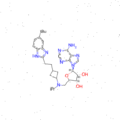 CC(C)N(CC1O[C@@H](n2cnc3c(N)ncnc32)[C@H](O)[C@@H]1O)C1CC(CCc2nc3cc(C(C)(C)C)ccc3[nH]2)C1